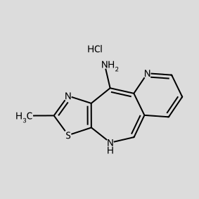 Cc1nc2c(s1)NC=c1cccnc1=C2N.Cl